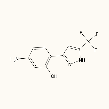 Nc1ccc(-c2cc(C(F)(F)F)[nH]n2)c(O)c1